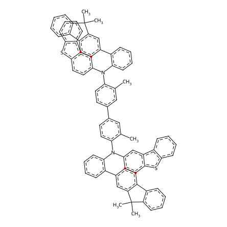 Cc1cc(-c2ccc(N(c3ccc4sc5ccccc5c4c3)c3ccccc3-c3ccc4c(c3)C(C)(C)c3ccccc3-4)c(C)c2)ccc1N(c1ccc2sc3ccccc3c2c1)c1ccccc1-c1ccc2c(c1)C(C)(C)c1ccccc1-2